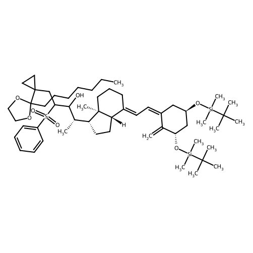 C=C1/C(=C\C=C2/CCC[C@]3(C)[C@@H]([C@H](C)C(O)C(CC4(C5(CCCCCCC)OCCO5)CC4)S(=O)(=O)c4ccccc4)CC[C@@H]23)C[C@@H](O[Si](C)(C)C(C)(C)C)C[C@@H]1O[Si](C)(C)C(C)(C)C